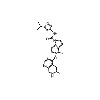 Cc1c(Oc2ncnc3c2CC(C)NC3)ccc2c1ccn2C(=O)Nc1cc(C(C)C)on1